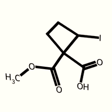 COC(=O)C1(C(=O)O)CCC1I